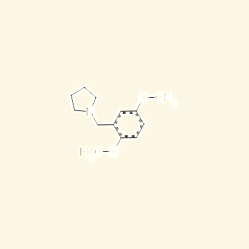 COc1ccc(OC)c(CN2CCCC2)c1